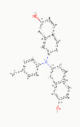 Cc1ccc(N(c2ccc3ccc(O)cc3c2)c2ccc3ccc(O)cc3c2)cc1